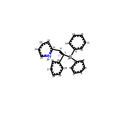 C(=C(\B(c1ccccc1)c1ccccc1)c1ccccc1)/c1ccccn1